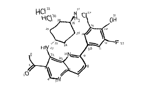 CC(=O)c1cnc2ccc(-c3cc(F)c(O)c(Cl)c3)nc2c1N[C@H]1CC[C@H](N)CC1.Cl.Cl